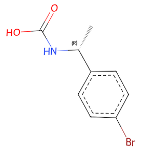 C[C@@H](NC(=O)O)c1ccc(Br)cc1